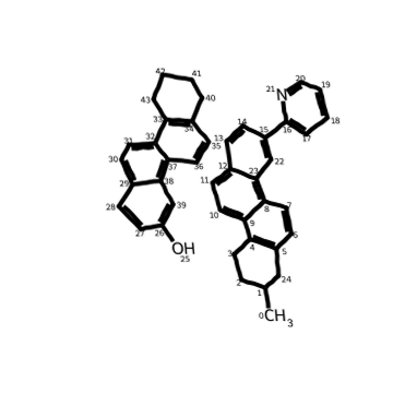 CC1CCc2c(ccc3c2ccc2ccc(-c4ccccn4)cc23)C1.Oc1ccc2ccc3c4c(ccc3c2c1)CCCC4